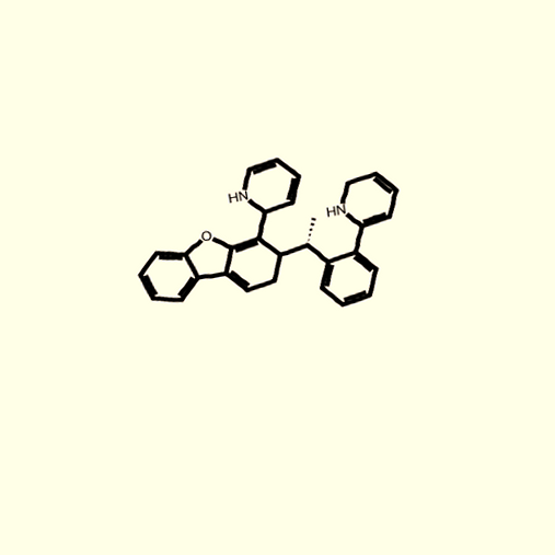 C[C@H](c1ccccc1C1=CC=CCN1)C1CC=c2c(oc3ccccc23)=C1C1C=CC=CN1